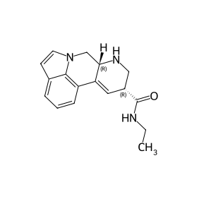 CCNC(=O)[C@@H]1C=C2c3cccc4ccn(c34)C[C@@H]2NC1